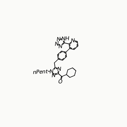 CCCCCn1nc(C(=O)C2CCCCC2)nc1Cc1ccc(-c2cccnc2-c2nnn[nH]2)cc1